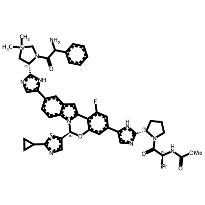 COC(=O)N[C@H](C(=O)N1CCC[C@H]1c1ncc(-c2cc(F)c3c(c2)O[C@@H](c2cnc(C4CC4)s2)n2c-3cc3cc(-c4cnc([C@@H]5C[Si](C)(C)CN5C(=O)C(N)c5ccccc5)[nH]4)ccc32)[nH]1)C(C)C